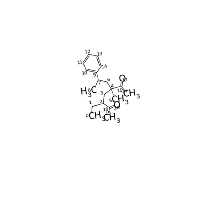 CCC(CC(C)(CC(C)c1ccccc1)C(C)=O)C(C)=O